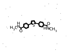 CNC(=O)c1ccc(-c2ccc(-c3ccc(C(=O)NC)cc3)s2)cc1